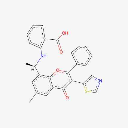 Cc1cc([C@@H](C)Nc2ccccc2C(=O)O)c2oc(-c3ccccc3)c(-c3cncs3)c(=O)c2c1